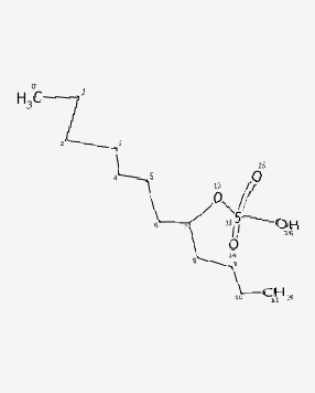 CCCCCCCC(CCCC)OS(=O)(=O)O